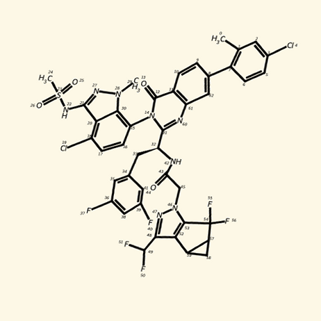 Cc1cc(Cl)ccc1-c1ccc2c(=O)n(-c3ccc(Cl)c4c(NS(C)(=O)=O)nn(C)c34)c([C@H](Cc3cc(F)cc(F)c3)NC(=O)Cn3nc(C(F)F)c4c3C(F)(F)C3CC43)nc2c1